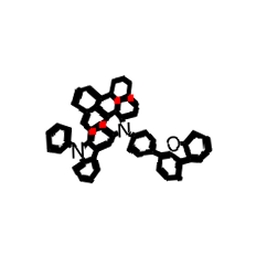 c1ccc(-n2c3ccccc3c3cc(N(c4ccc(-c5cccc6c5oc5ccccc56)cc4)c4ccccc4-c4cccc5cccc(C6CCCCC6)c45)ccc32)cc1